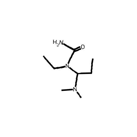 CCC(N(C)C)N(CC)C(N)=O